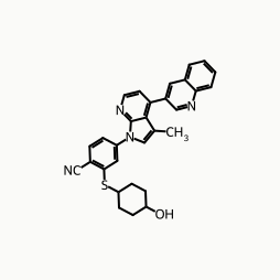 Cc1cn(-c2ccc(C#N)c(SC3CCC(O)CC3)c2)c2nccc(-c3cnc4ccccc4c3)c12